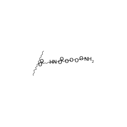 CCCCCCCCC(CCCCCCCC)OC(=O)CCCCCCCNCCOC(=O)CCOCCOCCOCCOCCN